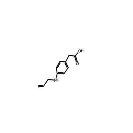 C=CCNc1ccc(CC(=O)O)cc1